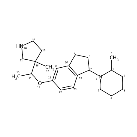 CC1CCCCN1C1CCc2cc(OC(C)C3(C)CCNC3)ccc21